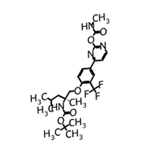 CNC(=O)Oc1nccc(-c2ccc(OC[C@](C)(CC(C)C)NC(=O)OC(C)(C)C)c(C(F)(F)F)c2)n1